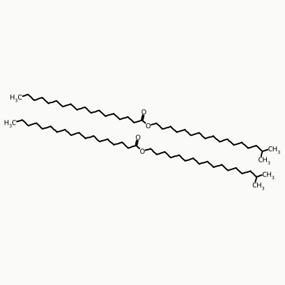 CCCCCCCCCCCCCCCCCC(=O)OCCCCCCCCCCCCCCCC(C)C.CCCCCCCCCCCCCCCCCC(=O)OCCCCCCCCCCCCCCCC(C)C